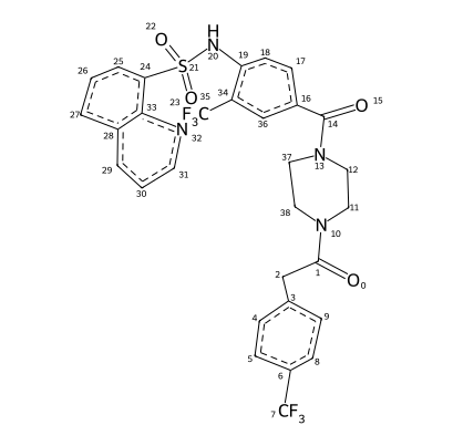 O=C(Cc1ccc(C(F)(F)F)cc1)N1CCN(C(=O)c2ccc(NS(=O)(=O)c3cccc4cccnc34)c(C(F)(F)F)c2)CC1